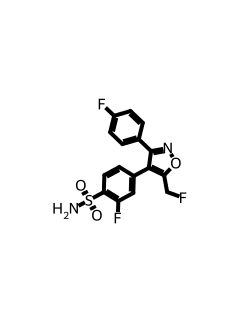 NS(=O)(=O)c1ccc(-c2c(-c3ccc(F)cc3)noc2CF)cc1F